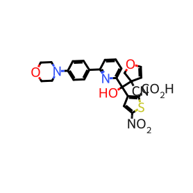 N#CC1(C(O)(c2cccc(-c3ccc(N4CCOCC4)cc3)n2)c2cc([N+](=O)[O-])sc2C(=O)O)C=COC1